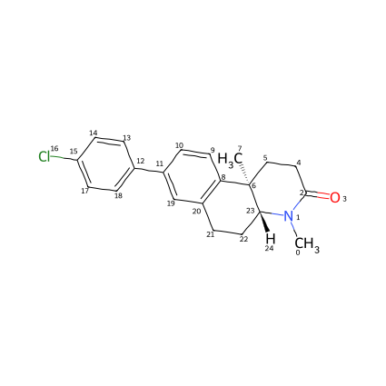 CN1C(=O)CC[C@]2(C)c3ccc(-c4ccc(Cl)cc4)cc3CC[C@@H]12